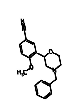 COc1ccc(C#N)cc1C1CN(Cc2ccccc2)CCO1